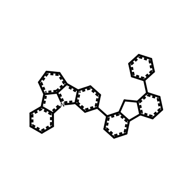 c1ccc(-c2cccc3c2Cc2c(-c4ccc5c6cccc7c8ccccc8n(c5c4)c76)cccc2-3)cc1